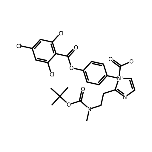 CN(CCC1=NC=C[N+]1(C(=O)[O-])c1ccc(OC(=O)c2c(Cl)cc(Cl)cc2Cl)cc1)C(=O)OC(C)(C)C